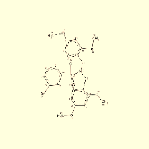 COc1ccc(CN(Cc2ccc(OC)cc2OC)S(=O)(=O)c2cccc(Br)c2)c(OC)c1